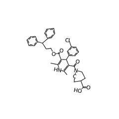 CC1=C(C(=O)OCCC(c2ccccc2)c2ccccc2)C(c2cccc(Cl)c2)C(C(=O)N2CCC(C(=O)O)CC2)=C(C)N1